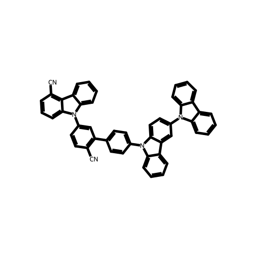 N#Cc1ccc(-n2c3ccccc3c3c(C#N)cccc32)cc1-c1ccc(-n2c3ccccc3c3cc(-n4c5ccccc5c5ccccc54)ccc32)cc1